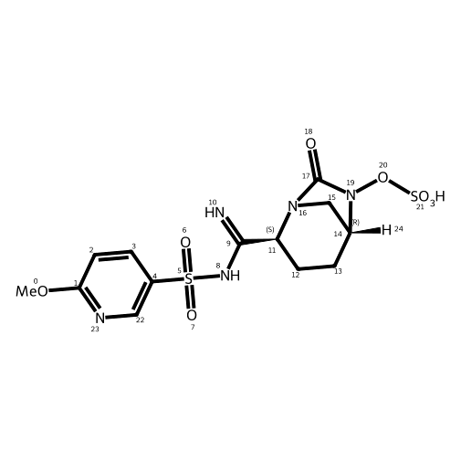 COc1ccc(S(=O)(=O)NC(=N)[C@@H]2CC[C@@H]3CN2C(=O)N3OS(=O)(=O)O)cn1